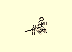 CCCCCNC(=O)Oc1cc(Cc2ccccc2)c(O)c(Cc2cncs2)c1NS(C)(=O)=O